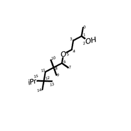 CC(O)CCOC(C)C(C)(C)CC(C)(C)C(C)C